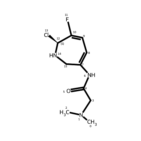 CN(C)CC(=O)NC1=CC=C(F)[C@H](Cl)NC1